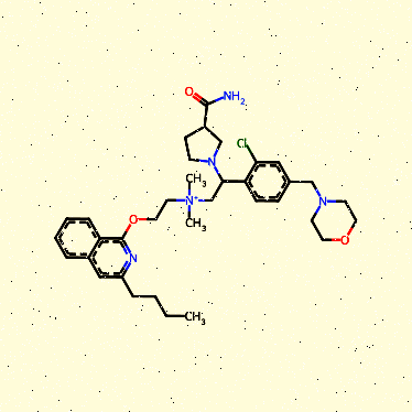 CCCCc1cc2ccccc2c(OCC[N+](C)(C)CC(c2ccc(CN3CCOCC3)cc2Cl)N2CCC(C(N)=O)C2)n1